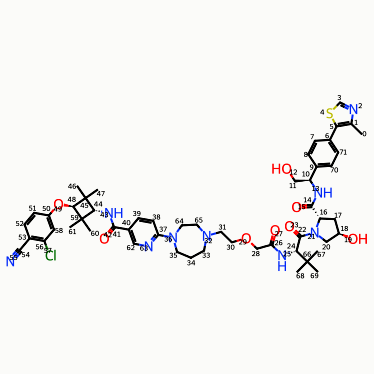 Cc1ncsc1-c1ccc([C@H](CO)NC(=O)[C@@H]2C[C@@H](O)CN2C(=O)[C@@H](NC(=O)COCCN2CCCN(c3ccc(C(=O)N[C@H]4C(C)(C)[C@H](Oc5ccc(C#N)c(Cl)c5)C4(C)C)cn3)CC2)C(C)(C)C)cc1